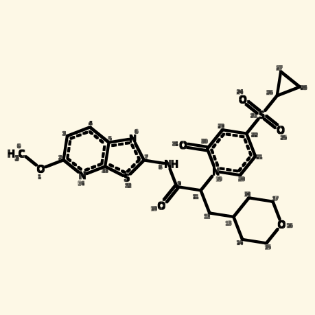 COc1ccc2nc(NC(=O)C(CC3CCOCC3)n3ccc(S(=O)(=O)C4CC4)cc3=O)sc2n1